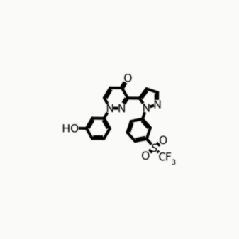 O=c1ccn(-c2cccc(O)c2)nc1-c1ccnn1-c1cccc(S(=O)(=O)C(F)(F)F)c1